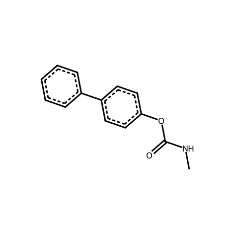 CNC(=O)Oc1ccc(-c2ccccc2)cc1